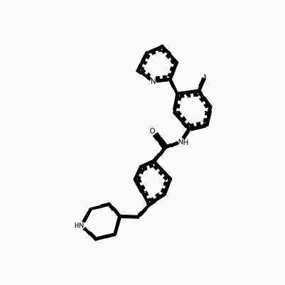 O=C(Nc1ccc(I)c(-c2ccccn2)c1)c1ccc(CC2CCNCC2)cc1